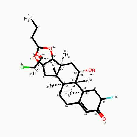 CCCC1O[C@@H]2C[C@H]3[C@@H]4CCC5=CC(=O)C(F)C[C@]5(C)[C@H]4[C@@H](O)C[C@]3(C)[C@]2(C(=O)CCl)O1